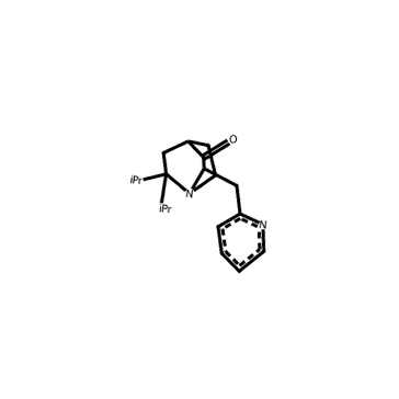 CC(C)C1(C(C)C)CC2CCN1C(Cc1ccccn1)C2=O